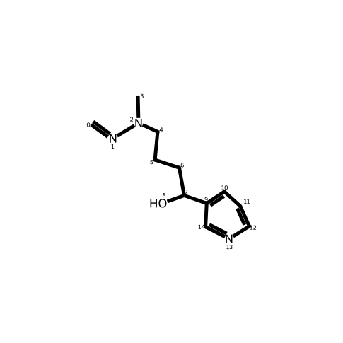 C=NN(C)CCCC(O)c1cccnc1